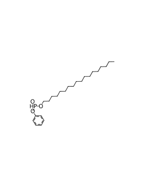 CCCCCCCCCCCCCCCCCCO[PH](=O)Oc1ccccc1